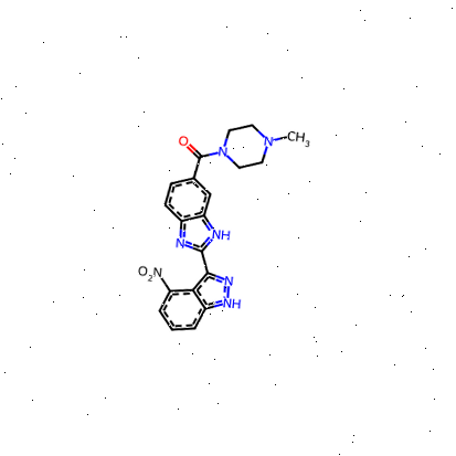 CN1CCN(C(=O)c2ccc3nc(-c4n[nH]c5cccc([N+](=O)[O-])c45)[nH]c3c2)CC1